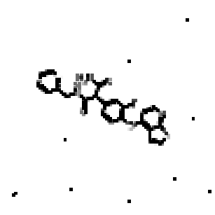 NC(=O)C(C(=O)NCc1ccccc1)c1ccc(Oc2ccnc3[nH]ccc23)c(F)c1